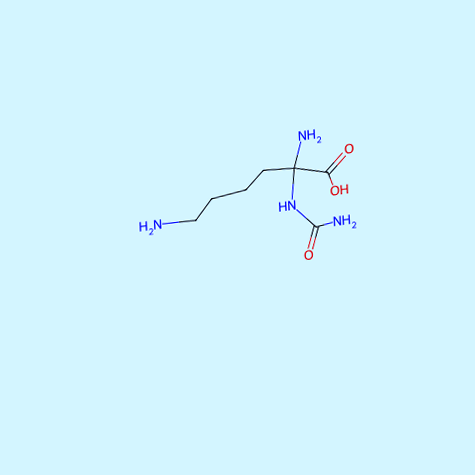 NCCCCC(N)(NC(N)=O)C(=O)O